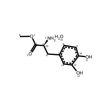 COC(=O)[C@@H](N)Cc1ccc(O)c(O)c1.O